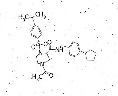 CC(=O)N1CCN(S(=O)(=O)c2ccc(C(C)C)cc2)C(C(=O)NCc2ccc(C3CCCC3)cc2)C1